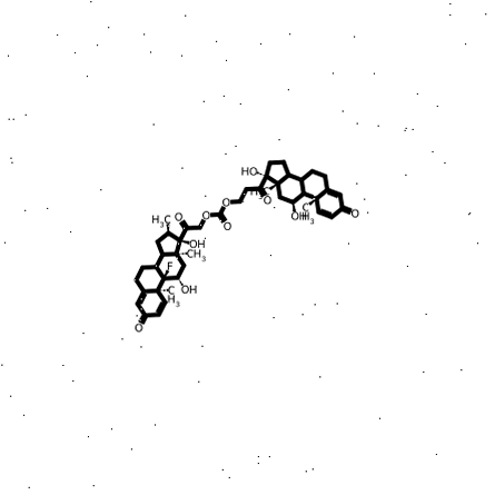 C[C@@H]1CC2C3CCC4=CC(=O)C=C[C@]4(C)[C@@]3(F)[C@@H](O)C[C@]2(C)[C@@]1(O)C(=O)COC(=O)O[CH]CC(=O)[C@@]1(O)CCC2C3CCC4=CC(=O)C=C[C@]4(C)C3[C@@H](O)C[C@@]21C